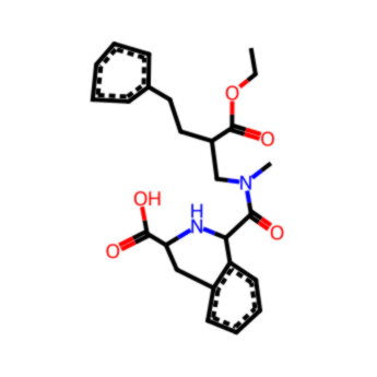 CCOC(=O)C(CCc1ccccc1)CN(C)C(=O)C1NC(C(=O)O)Cc2ccccc21